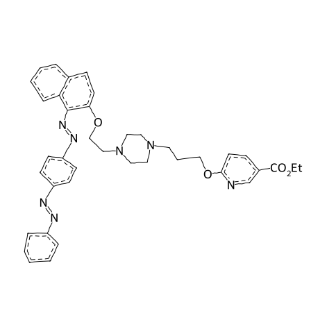 CCOC(=O)c1ccc(OCCCN2CCN(CCOc3ccc4ccccc4c3/N=N/c3ccc(/N=N/c4ccccc4)cc3)CC2)nc1